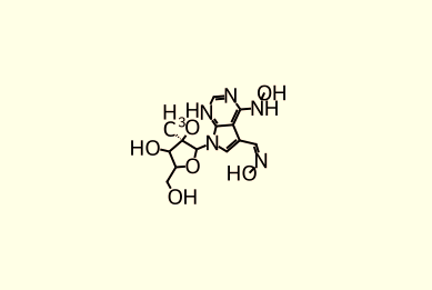 C[C@@]1(O)C(O)C(CO)OC1n1cc(/C=N\O)c2c(NO)ncnc21